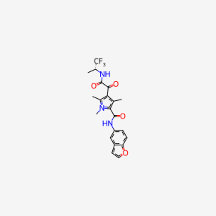 Cc1c(C(=O)C(=O)N[C@H](C)C(F)(F)F)c(C)n(C)c1C(=O)Nc1ccc2occc2c1